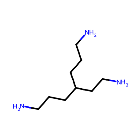 NCCC[C](CCN)CCCN